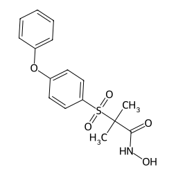 CC(C)(C(=O)NO)S(=O)(=O)c1ccc(Oc2ccccc2)cc1